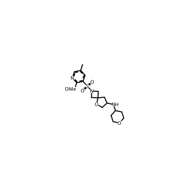 COc1ncc(C)cc1S(=O)(=O)N1CC2(CC(NC3CCOCC3)CO2)C1